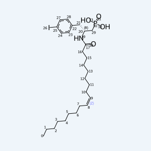 CCCCCCCC/C=C\CCCCCCCC(=O)N[C@H](Cc1ccc(I)cc1)CP(=O)(O)O